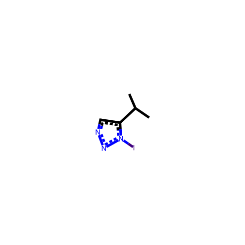 CC(C)c1cnnn1I